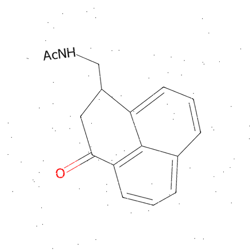 CC(=O)NCC1CC(=O)c2cccc3cccc1c23